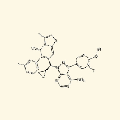 Cc1cccc(-c2c([C@H](C3CC3)n3nc(-c4ccc(OC(C)C)c(F)c4)c4c(N)ncnc43)cc3scc(C)n3c2=O)c1